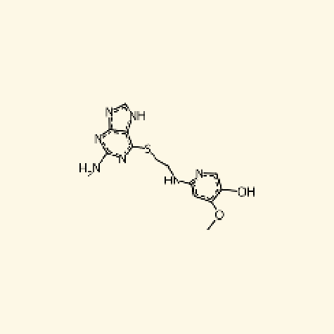 COc1cc(NCCSc2nc(N)nc3nc[nH]c23)ncc1O